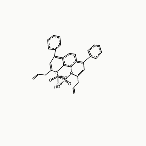 C=CCC1=CC(c2ccccc2)=c2ccc3c(c2N1S(=O)(=O)O)N(S(=O)(=O)O)C(CC=C)=CC=3c1ccccc1